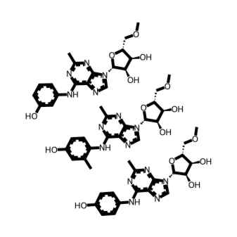 COC[C@H]1O[C@@H](n2cnc3c(Nc4ccc(O)cc4)nc(C)nc32)[C@H](O)[C@@H]1O.COC[C@H]1O[C@@H](n2cnc3c(Nc4ccc(O)cc4C)nc(C)nc32)[C@H](O)[C@@H]1O.COC[C@H]1O[C@@H](n2cnc3c(Nc4cccc(O)c4)nc(C)nc32)[C@H](O)[C@@H]1O